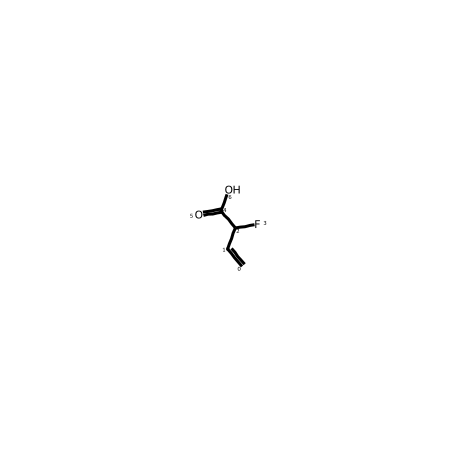 C=CC(F)C(=O)O